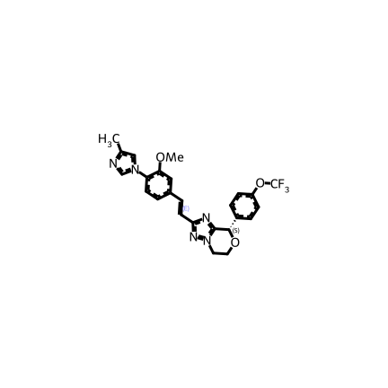 COc1cc(/C=C/c2nc3n(n2)CCO[C@H]3c2ccc(OC(F)(F)F)cc2)ccc1-n1cnc(C)c1